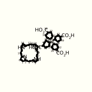 C1=Cc2cc3ccc(cc4nc(cc5ccc(cc1n2)[nH]5)C=C4)[nH]3.O=C(O)c1cc[c]([Pd]([c]2ccc(C(=O)O)cc2)([c]2ccc(C(=O)O)cc2)[c]2ccc(C(=O)O)cc2)cc1